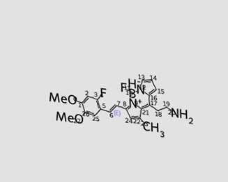 COc1cc(F)c(/C=C/C2=[N+]3[BH-](F)n4cccc4C(CCN)=C3C(C)=C2)cc1OC